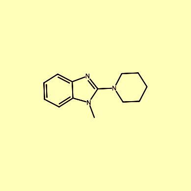 Cn1c(N2CCCCC2)nc2ccccc21